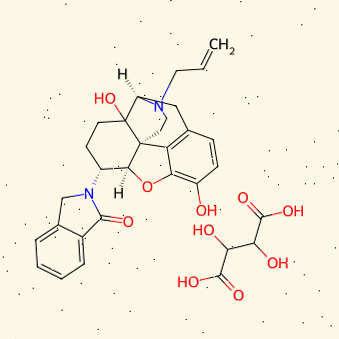 C=CCN1CC[C@]23c4c5ccc(O)c4O[C@H]2[C@H](N2Cc4ccccc4C2=O)CCC3(O)[C@H]1C5.O=C(O)C(O)C(O)C(=O)O